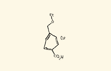 CCOCc1ccc(C(=O)O)cc1.[Cu]